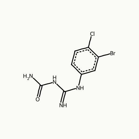 N=C(NC(N)=O)Nc1ccc(Cl)c(Br)c1